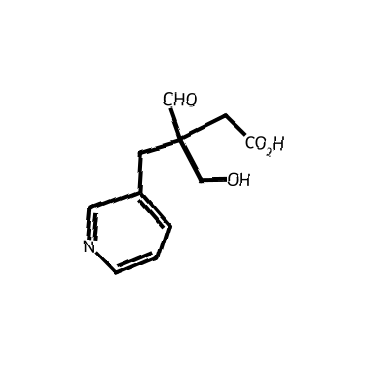 O=CC(CO)(CC(=O)O)Cc1cccnc1